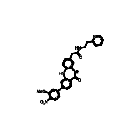 COc1cc(-c2ccc3c(c2)Nc2ccc(CC(=O)NCCc4ccccn4)cc2NC3=O)ccc1[N+](=O)[O-]